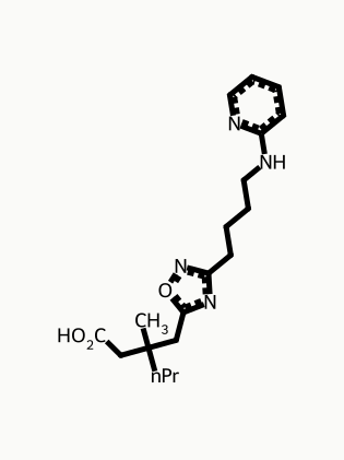 CCCC(C)(CC(=O)O)Cc1nc(CCCCNc2ccccn2)no1